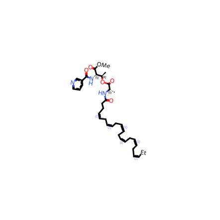 CC/C=C\C/C=C\C/C=C\C/C=C\C/C=C\C/C=C\CCC(=O)N[C@@H](C)C(=O)O[C@H](C)[C@H](NC(=O)c1cccnc1)C(=O)OC